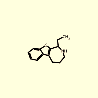 CCC1NCCCc2c1sc1ccccc21